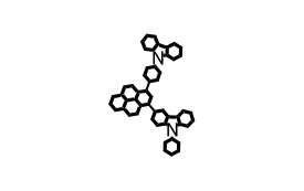 c1ccc(-n2c3ccccc3c3cc(-c4cc(-c5ccc(-n6c7ccccc7c7ccccc76)cc5)c5ccc6cccc7ccc4c5c67)ccc32)cc1